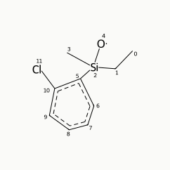 CC[Si](C)([O])c1ccccc1Cl